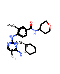 COc1cc(C(=O)NC2CCOCC2)ccc1Nc1ncc(C(F)(F)F)c(N[C@H]2CCCC[C@@H]2NC(C)=O)n1